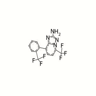 Nc1nc2c(-c3ccccc3C(F)(F)F)ccc(C(F)(F)F)n2n1